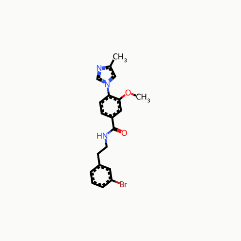 COc1cc(C(=O)NCCc2cccc(Br)c2)ccc1-n1cnc(C)c1